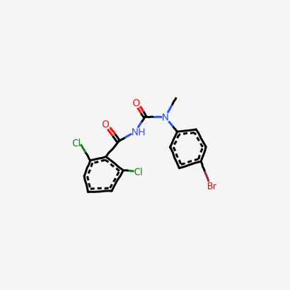 CN(C(=O)NC(=O)c1c(Cl)cccc1Cl)c1ccc(Br)cc1